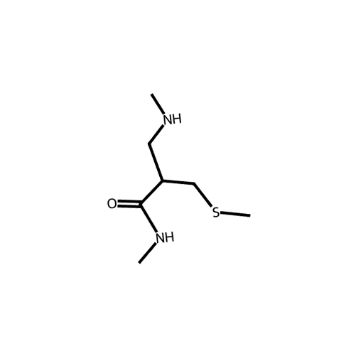 CNCC(CSC)C(=O)NC